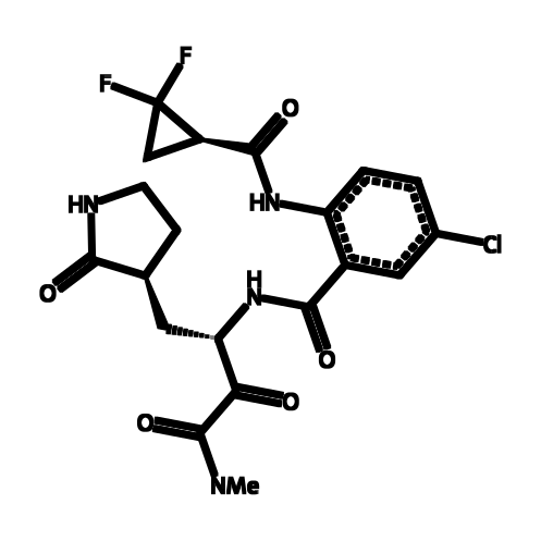 CNC(=O)C(=O)[C@H](C[C@@H]1CCNC1=O)NC(=O)c1cc(Cl)ccc1NC(=O)[C@H]1CC1(F)F